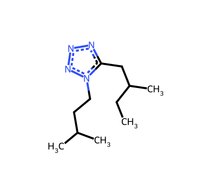 CCC(C)Cc1nnnn1CCC(C)C